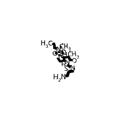 CCCN(C)S(=O)(=O)N1CC[C@H]2[C@H]1[C@H](C)C(=O)N2c1ncc(CN)s1